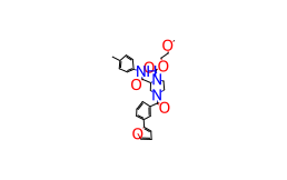 COCCOC(=O)N1CCN(C(=O)c2cccc(-c3ccco3)c2)CC1C(=O)Nc1ccc(C)cc1